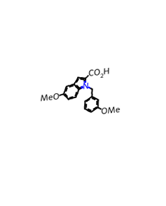 COc1cccc(Cn2c(C(=O)O)cc3cc(OC)ccc32)c1